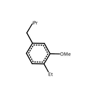 CCc1ccc(CC(C)C)cc1OC